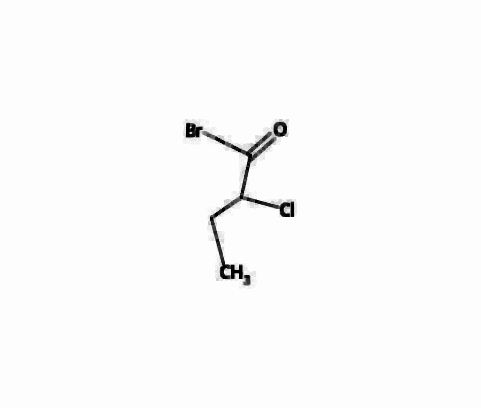 CCC(Cl)C(=O)Br